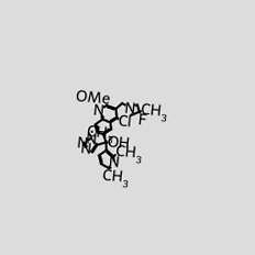 COc1nc2ccc(C(O)(c3ccc(C)nc3C)c3cnnn3C)cc2c(Cl)c1CN1CC(C)(F)C1